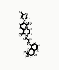 Cc1cn(-c2ccc3n(c2=O)CCN(CCOc2cccc4c2OC(F)(F)CC4)C3=O)cn1